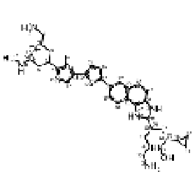 NCCCC(C[C@H](O)NO)c1ncc(-c2ccc(-c3ccc4c5c(ccc4c3)NC([C@H](CCCN)C[C@@H](NO)C3CC3)N5)s2)[nH]1